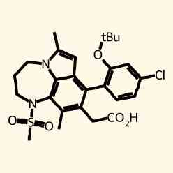 Cc1c(CC(=O)O)c(-c2ccc(Cl)cc2OC(C)(C)C)c2cc(C)n3c2c1N(S(C)(=O)=O)CCC3